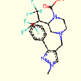 Cn1cc(CN2CCN(C(=O)O)C(C(C(F)(F)F)C(F)(F)F)C2)c(-c2ccccc2)n1